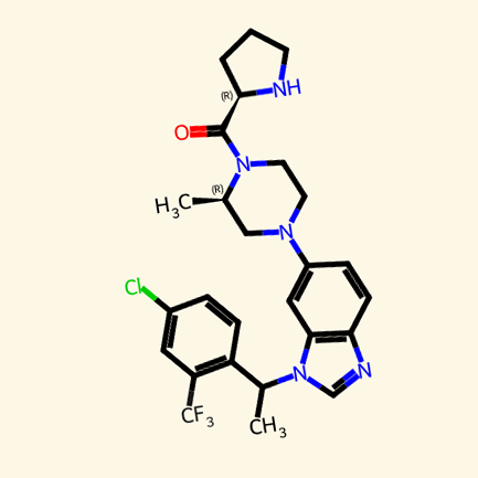 CC(c1ccc(Cl)cc1C(F)(F)F)n1cnc2ccc(N3CCN(C(=O)[C@H]4CCCN4)[C@H](C)C3)cc21